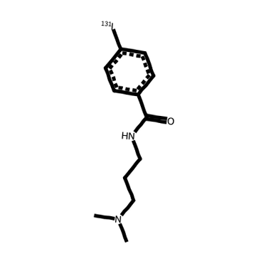 CN(C)CCCNC(=O)c1ccc([131I])cc1